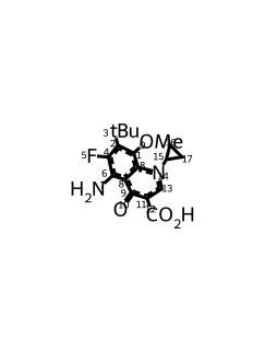 COc1c(C(C)(C)C)c(F)c(N)c2c(=O)c(C(=O)O)cn(C3CC3)c12